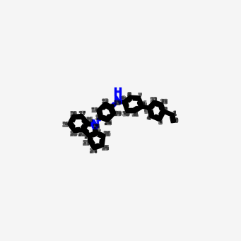 C=Cc1ccc(-c2ccc(Nc3ccc(-n4c5ccccc5c5ccccc54)cc3)cc2)cc1